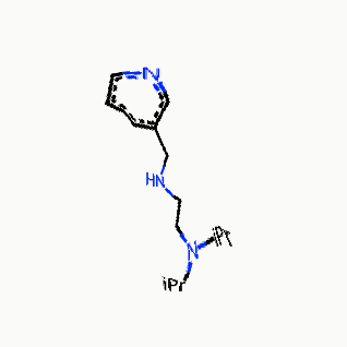 CC(C)N(CCNCc1cccnc1)C(C)C